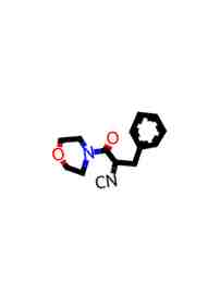 [C-]#[N+]C(Cc1ccccc1)C(=O)N1CCOCC1